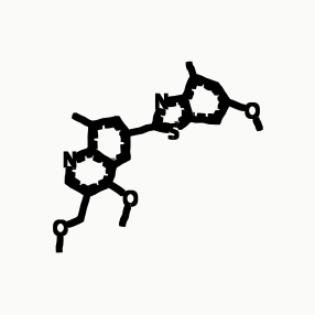 COCc1cnc2c(C)cc(-c3nc4c(C)cc(OC)cc4s3)cc2c1OC